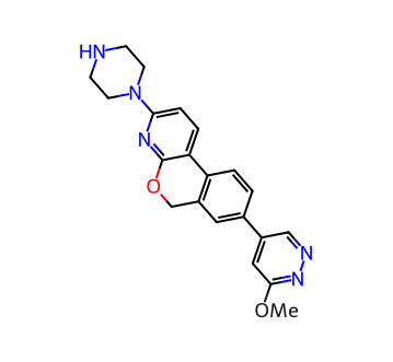 COc1cc(-c2ccc3c(c2)COc2nc(N4CCNCC4)ccc2-3)cnn1